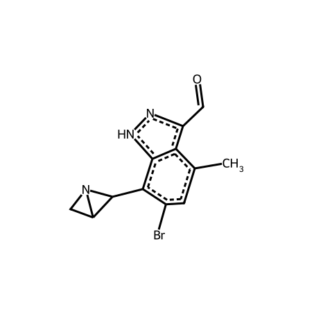 Cc1cc(Br)c(C2C3CN32)c2[nH]nc(C=O)c12